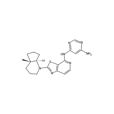 C[C@@]12CCC[C@H]1N(c1nc3ccnc(Nc4cc(N)ncn4)c3s1)CCC2